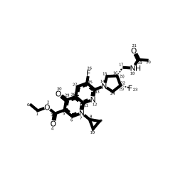 CCOC(=O)c1cn(C2CC2)c2nc(N3C[C@H](CNC(C)=O)[C@H](F)C3)c(F)cc2c1=O